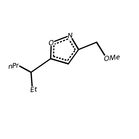 CCCC(CC)c1cc(COC)no1